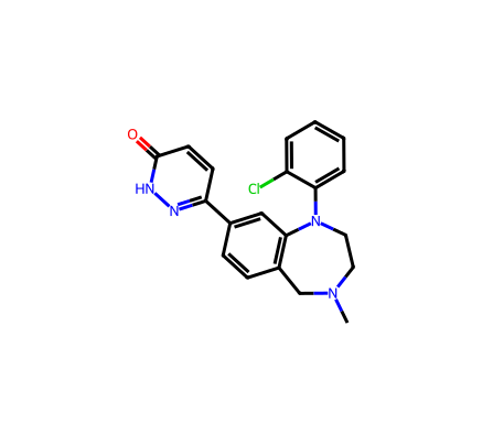 CN1CCN(c2ccccc2Cl)c2cc(-c3ccc(=O)[nH]n3)ccc2C1